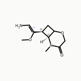 CO/C(=C\N)[C@H]1CC2OCC(=O)N(C)[C@H]21